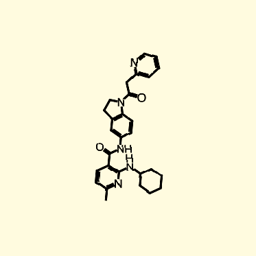 Cc1ccc(C(=O)Nc2ccc3c(c2)CCN3C(=O)Cc2ccccn2)c(NC2CCCCC2)n1